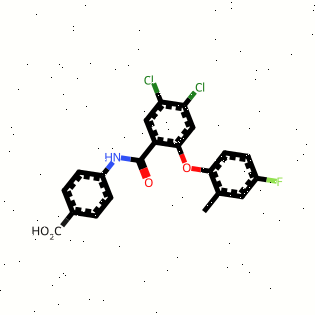 Cc1cc(F)ccc1Oc1cc(Cl)c(Cl)cc1C(=O)Nc1ccc(C(=O)O)cc1